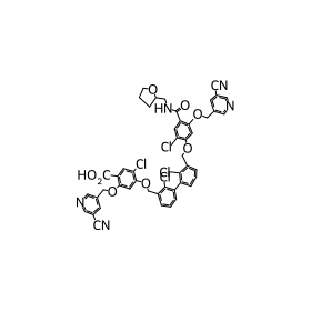 N#Cc1cncc(COc2cc(OCc3cccc(-c4cccc(COc5cc(OCc6cncc(C#N)c6)c(C(=O)NCC6CCCO6)cc5Cl)c4Cl)c3Cl)c(Cl)cc2C(=O)O)c1